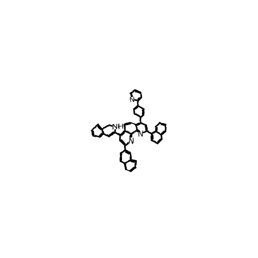 C1=C(c2cc(-c3ccc4ccccc4c3)nc3c2ccc2c(-c4ccc(-c5ccccn5)cc4)cc(-c4cccc5ccccc45)nc23)NCc2ccccc21